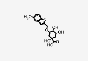 Cc1ccc2sc(COC3=C[C@@](O)(C(=O)O)C[C@@H](O)[C@@H]3O)cc2c1